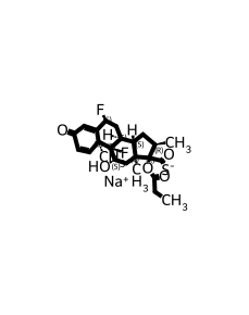 CCC(=O)O[C@]1(C(=O)[S-])[C@H](C)C[C@H]2[C@@H]3C[C@H](F)C4=CC(=O)C=C[C@]4(C)[C@@]3(F)[C@@H](O)C[C@@]21C.[Na+]